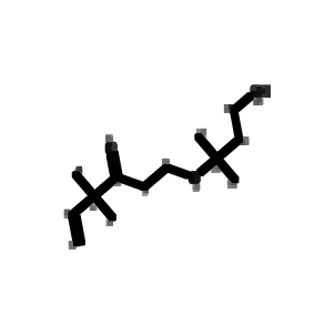 C=CC(C)(C)C(=O)CCOC(C)(C)CCO